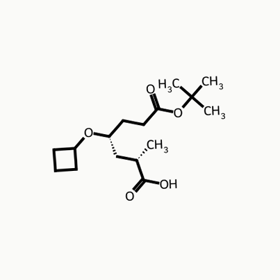 C[C@@H](C[C@@H](CCC(=O)OC(C)(C)C)OC1CCC1)C(=O)O